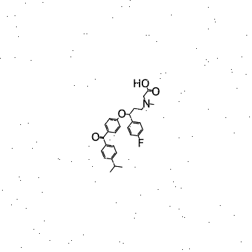 CC(C)c1ccc(C(=O)c2ccc(OC(CCN(C)CC(=O)O)c3ccc(F)cc3)cc2)cc1